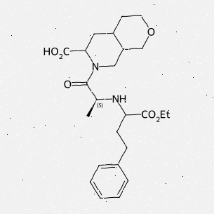 CCOC(=O)C(CCc1ccccc1)N[C@@H](C)C(=O)N1CC2COCCC2CC1C(=O)O